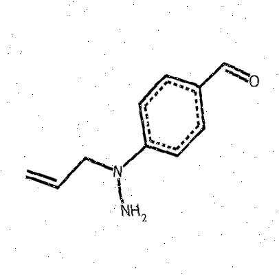 C=CCN(N)c1ccc(C=O)cc1